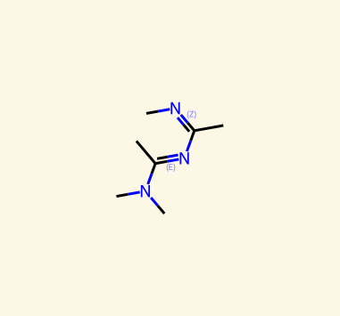 C/N=C(C)\N=C(/C)N(C)C